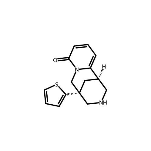 O=c1cccc2n1C[C@]1(c3cccs3)CNC[C@H]2C1